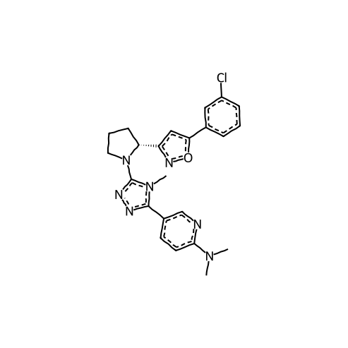 CN(C)c1ccc(-c2nnc(N3CCC[C@@H]3c3cc(-c4cccc(Cl)c4)on3)n2C)cn1